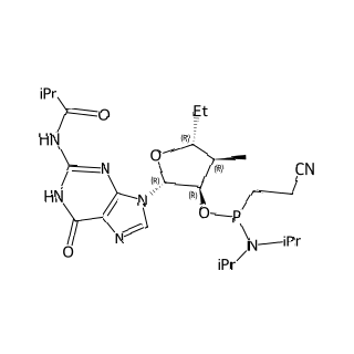 CC[C@H]1O[C@@H](n2cnc3c(=O)[nH]c(NC(=O)C(C)C)nc32)[C@H](OP(CCC#N)N(C(C)C)C(C)C)[C@@H]1C